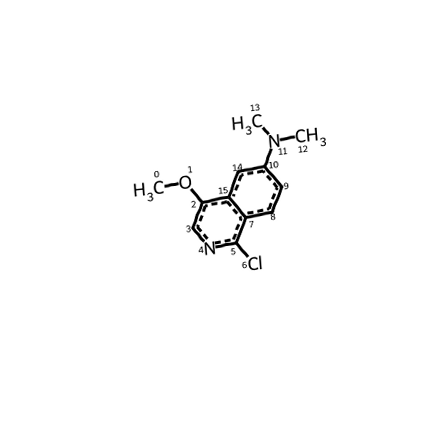 COc1cnc(Cl)c2ccc(N(C)C)cc12